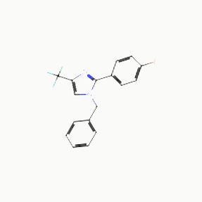 FC(F)(F)c1cn(Cc2ccccc2)c(-c2ccc(Br)cc2)n1